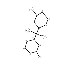 CC(C)(C1CCCC(O)C1)C1CCCC(O)C1